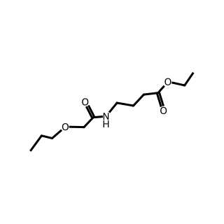 CCCOCC(=O)NCCCC(=O)OCC